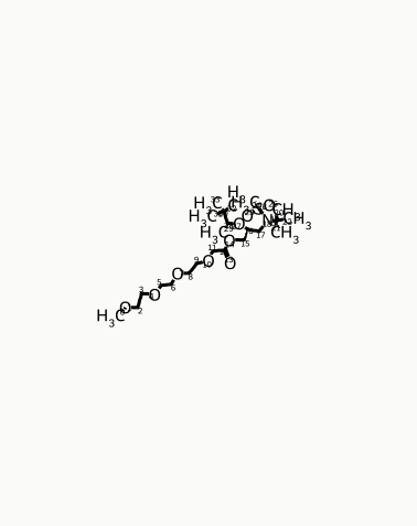 COCCOCCOCCOCC(=O)OC[C@H](CN(C(C)(C)C)S(C)(=O)=O)O[C@@H](C)C(C)(C)C